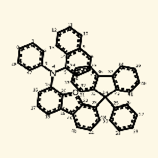 c1ccc(N(c2cccc3ccccc23)c2cccc3c2oc2c(C4(c5ccccc5)c5ccccc5-c5ccccc54)cccc23)cc1